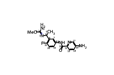 CO/C(N)=N/C(C)c1cc(NC(=O)c2ccc(N)cn2)ccc1F